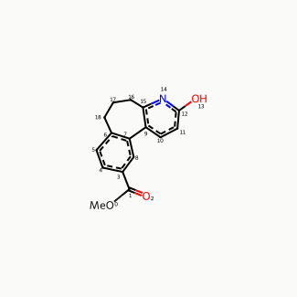 COC(=O)c1ccc2c(c1)-c1ccc(O)nc1CCC2